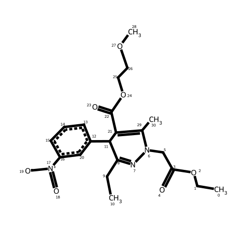 CCOC(=O)CN1N=C(CC)C(c2cccc([N+](=O)[O-])c2)C(C(=O)OCCOC)=C1C